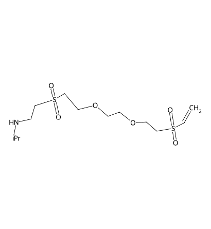 C=CS(=O)(=O)CCOCCOCCS(=O)(=O)CCNC(C)C